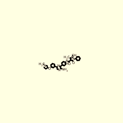 Cc1c(C(=O)Nc2ccc(-c3nc(-c4cccc(OC5CCN(C)C5)c4)cnc3N)cc2)c(=O)n(-c2ccccc2)n1C